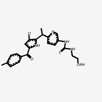 COCCNC(=S)Nc1ccc(C(C)c2[nH]c(C(=O)c3ccc(C)cc3)cc2Cl)nc1